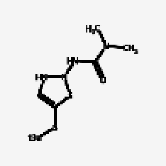 CN(C)C(=O)NN1NC=C(SC(C)(C)C)S1